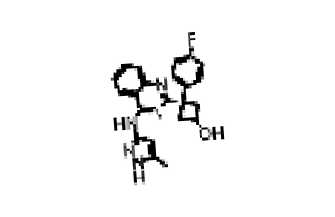 Cc1cc(Nc2nc([C@]3(c4ccc(F)cc4)C[C@H](O)C3)nc3ccccc23)n[nH]1